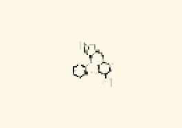 Clc1ccc2c(c1)C(c1ccccc1)C1CNCC1C2